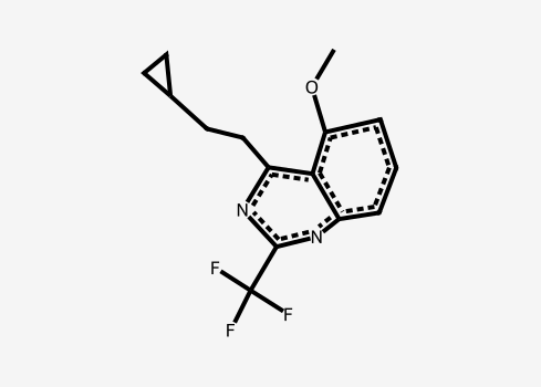 COc1cccc2nc(C(F)(F)F)nc(CCC3CC3)c12